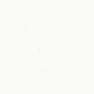 CN(C)CCNc1cc(F)ccc1[N+](=O)[O-]